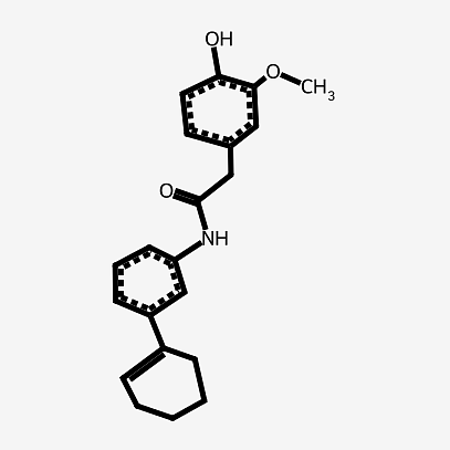 COc1cc(CC(=O)Nc2cccc(C3=CCCCC3)c2)ccc1O